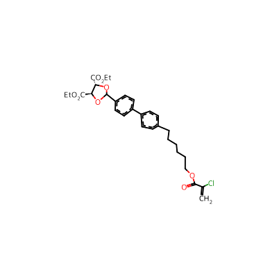 C=C(Cl)C(=O)OCCCCCCc1ccc(-c2ccc(C3O[C@@H](C(=O)OCC)[C@H](C(=O)OCC)O3)cc2)cc1